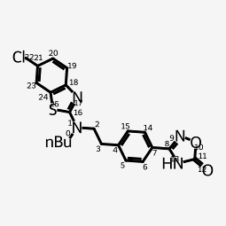 CCCCN(CCc1ccc(-c2noc(=O)[nH]2)cc1)c1nc2ccc(Cl)cc2s1